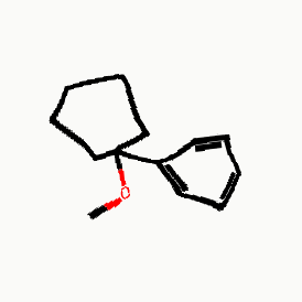 COC1(c2ccccc2)CCCCC1